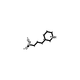 O=[SH](=O)CCCC1[CH]CCNC1